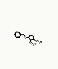 O=S(=O)(O)C1CCC(OCc2ccccc2)C1S(=O)(=O)O